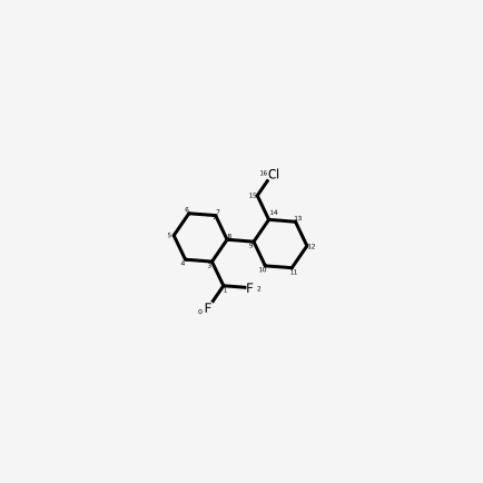 FC(F)C1CCC[C]C1C1CCCCC1CCl